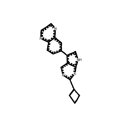 c1cnc2cc(-c3c[nH]c4nc(C5CCC5)ncc34)ccc2n1